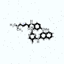 COc1ccc(NC(=O)/C=C/CN(C)C)c(Nc2ncc(F)c(Nc3ccc4ccccc4c3)n2)c1